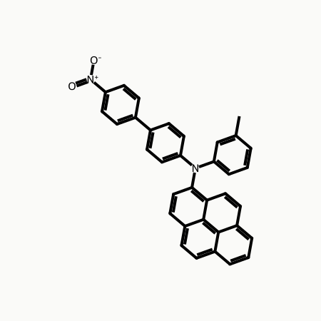 Cc1cccc(N(c2ccc(-c3ccc([N+](=O)[O-])cc3)cc2)c2ccc3ccc4cccc5ccc2c3c45)c1